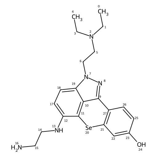 CCN(CC)CCn1nc2c3c(c(NCCN)ccc31)[Se]c1cc(O)ccc1-2